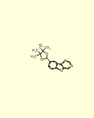 CC1(C)OB(c2ccc3oc4cncnc4c3c2)OC1(C)C